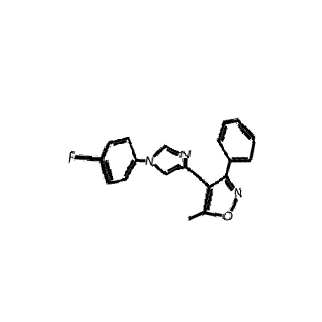 Cc1onc(-c2ccccc2)c1-c1cn(-c2ccc(F)cc2)cn1